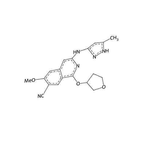 COc1cc2cc(Nc3cc(C)[nH]n3)nc(OC3CCOC3)c2cc1C#N